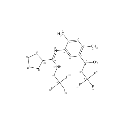 Cc1cc(C)c([S+]([O-])CC(F)(F)F)cc1/N=C(\NCC(F)(F)F)C1CCCC1